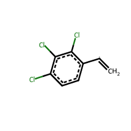 C=[C]c1ccc(Cl)c(Cl)c1Cl